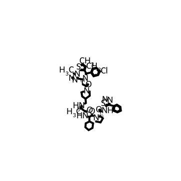 Cc1sc2c(c1C)C(c1ccc(Cl)cc1)=N[C@@H](CC(=O)N1CCC(CN[C@@H](C)C(=O)NC(C(=O)N3CCC[C@H]3C(=O)Nc3snnc3-c3ccccc3)C3CCCCC3)CC1)c1nnc(C)n1-2